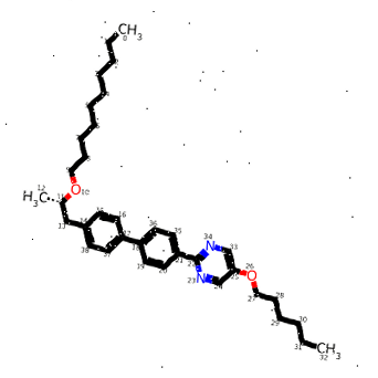 CCCCCCCCCCO[C@@H](C)Cc1ccc(-c2ccc(-c3ncc(OCCCCCC)cn3)cc2)cc1